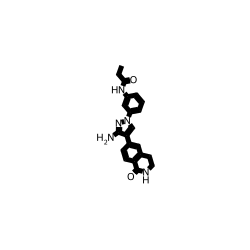 CCC(=O)Nc1cccc(-n2cc(-c3ccc4c(c3)CCNC4=O)c(N)n2)c1